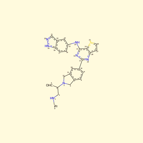 CC(C)NCC(C=O)N1Cc2ccc(-c3nc(Nc4ccc5[nH]ncc5c4)c4sccc4n3)cc2C1